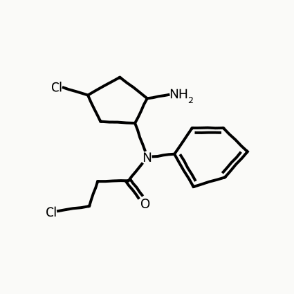 NC1CC(Cl)CC1N(C(=O)CCCl)c1ccccc1